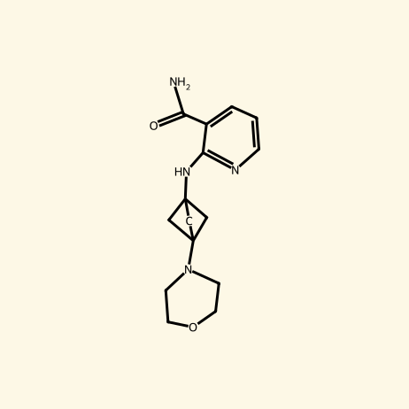 NC(=O)c1cccnc1NC12CC(N3CCOCC3)(C1)C2